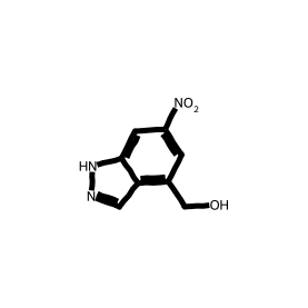 O=[N+]([O-])c1cc(CO)c2cn[nH]c2c1